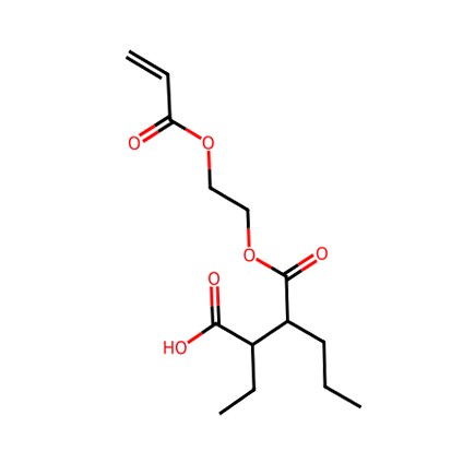 C=CC(=O)OCCOC(=O)C(CCC)C(CC)C(=O)O